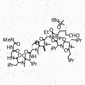 C=C(C(=O)N(C)[C@@H](CC(C)C)C(=O)N[C@H](C(=O)N(C)[C@@H](CC(C)C)C(=O)N[C@H](C)C(=O)NC(=O)NC)C(C)C)N(C)C(=O)[C@H](CC)NC(=O)[C@H]([C@H](O[Si](C)(C)C(C)(C)C)[C@H](C)CC=O)N(C)C(=O)[C@H](C(C)C)N(C)C(=O)[C@H](CC(C)C)N(C)C(=O)CCC(C)C